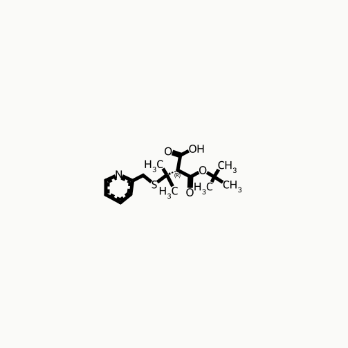 CC(C)(C)OC(=O)[C@@H](C(=O)O)C(C)(C)SCc1ccccn1